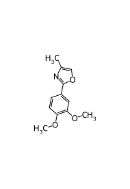 COc1ccc(-c2nc(C)co2)cc1OC